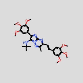 COc1cc(C=Cc2nc3nc(-c4cc(OC)c(OC)c(OC)c4)c(NC(C)(C)C)n3nc2C)cc(OC)c1OC